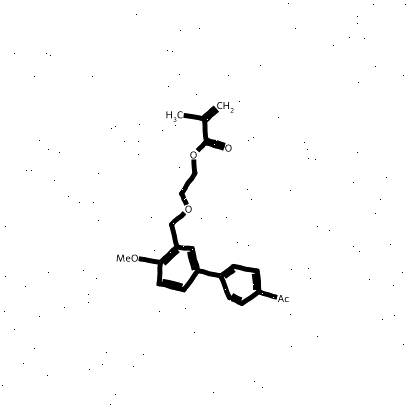 C=C(C)C(=O)OCCOCc1cc(-c2ccc(C(C)=O)cc2)ccc1OC